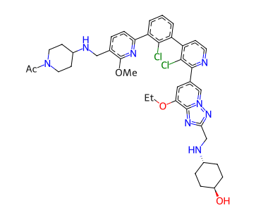 CCOc1cc(-c2nccc(-c3cccc(-c4ccc(CNC5CCN(C(C)=O)CC5)c(OC)n4)c3Cl)c2Cl)cn2nc(CN[C@H]3CC[C@H](O)CC3)nc12